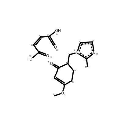 COC1=CC(=O)C(Cn2ccnc2C)CC1.O=C(O)/C=C\C(=O)O